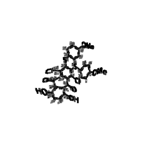 COc1ccc(Sc2c(Cl)c3c(c(Cl)c2Sc2ccc(OC)cc2)C(=O)c2c(O)ccc(O)c2C3=O)cc1